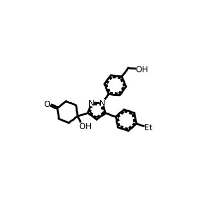 CCc1ccc(-c2cc(C3(O)CCC(=O)CC3)nn2-c2ccc(CO)cc2)cc1